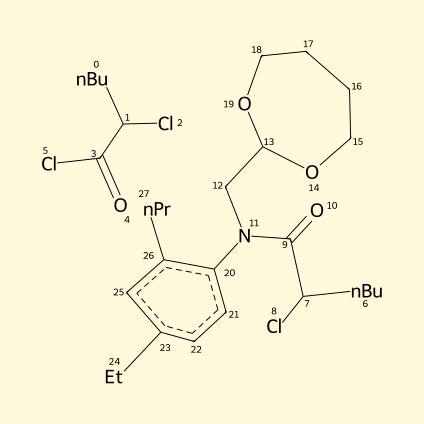 CCCCC(Cl)C(=O)Cl.CCCCC(Cl)C(=O)N(CC1OCCCCO1)c1ccc(CC)cc1CCC